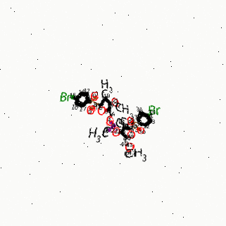 C=P(C)(OC[C@H]1O[C@@H](S(=O)(=O)c2ccc(Br)cc2)C(C)[C@H]1OC)O[C@@H]1C(C)[C@H](S(=O)(=O)c2ccc(Br)cc2)O[C@@H]1COC